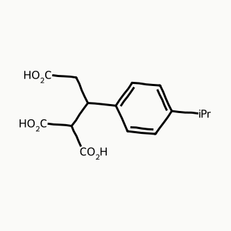 CC(C)c1ccc(C(CC(=O)O)C(C(=O)O)C(=O)O)cc1